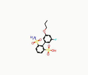 CCCOc1cc(F)cc(-c2c(S(N)(=O)=O)cccc2S(=O)(=O)O)c1